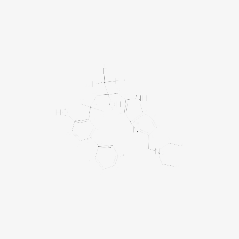 CCN(CC)Cc1ccc2[nH]c(CC(O)(CC(C)(C)c3cc(-c4ccccc4)ccc3O)C(F)(F)F)cc2n1